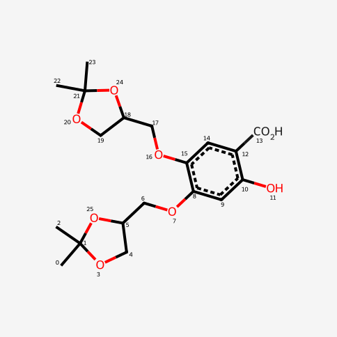 CC1(C)OCC(COc2cc(O)c(C(=O)O)cc2OCC2COC(C)(C)O2)O1